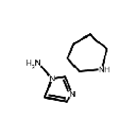 C1CCNCC1.Nn1ccnc1